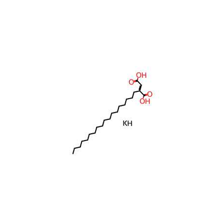 CCCCCCCCCCCCCCCCCC/C(=C\C(=O)O)C(=O)O.[KH]